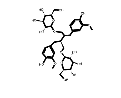 COc1cc(C[C@H](COC2O[C@H](CO)[C@@H](O)[C@H](O)[C@H]2O)[C@@H](CO[C@@H]2O[C@H](CO)[C@@H](O)[C@H](O)[C@H]2O)Cc2ccc(O)c(OC)c2)ccc1O